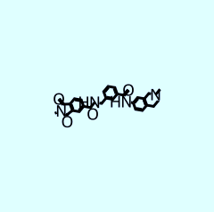 CN1CCc2ccc(NC(=O)c3cccc(CNC(=O)c4ccc5c(c4)C(=O)N(C)C5=O)c3)cc2C1